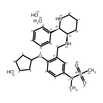 CN(c1ccc(OC2CCCC2)c(CN[C@@H]2CCCN[C@@H]2c2ccccc2)c1)S(C)(=O)=O.Cl.Cl.O